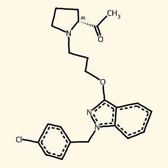 CC(=O)[C@H]1CCCN1CCCOc1nn(Cc2ccc(Cl)cc2)c2ccccc12